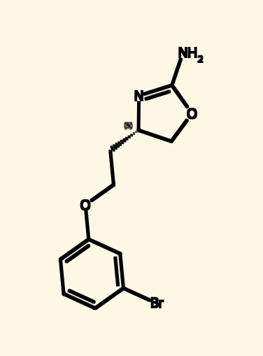 NC1=N[C@@H](CCOc2cccc(Br)c2)CO1